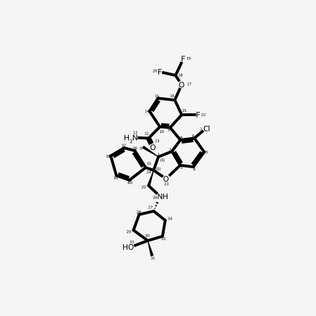 C[C@H]1c2c(ccc(Cl)c2C2=C(C(N)=O)C=CC(OC(F)F)C2F)O[C@]1(CN[C@H]1CC[C@@](C)(O)CC1)c1ccccc1